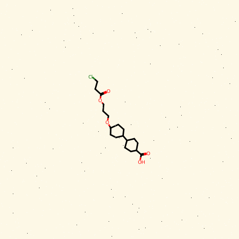 O=C(CCCl)OCCCOC1CCC(C2CCC(C(=O)O)CC2)CC1